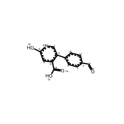 O=Cc1ccc(-c2cnc(O)cc2C(=O)O)cc1